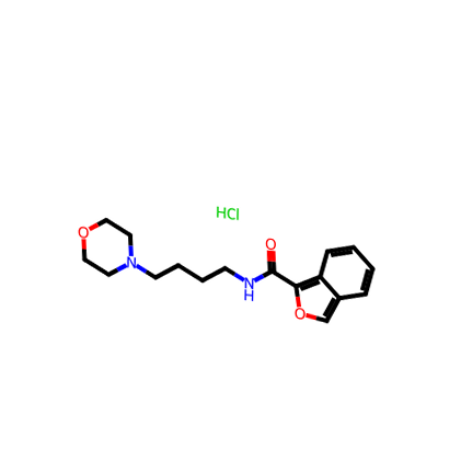 Cl.O=C(NCCCCN1CCOCC1)c1occ2ccccc12